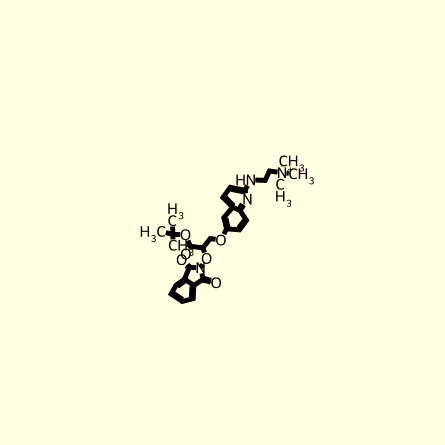 CC(C)(C)OC(=O)C(COc1ccc2nc(NCC[N+](C)(C)C)ccc2c1)ON1C(=O)c2ccccc2C1=O